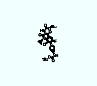 CC(C)(C)OC(=O)NC1C2CN(c3c(F)cc4c(=O)n(NC(=O)OC(C)(C)C)c(=O)n(C5CC5)c4c3Cl)CC21